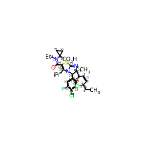 C=C(/C=C\C(Cl)=C/C)[C@]1(C)N=C2SC(C(=O)N(CC)C3(C(=O)O)CC3)=C(C(C)C)N2C1c1ccc(Cl)c(F)c1